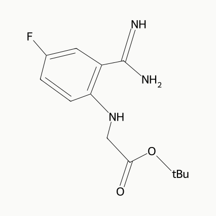 CC(C)(C)OC(=O)CNc1ccc(F)cc1C(=N)N